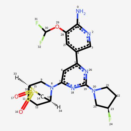 Nc1ncc(-c2cc(N3C[C@@H]4CC[C@H]3CS4(=O)=O)nc(N3CC[C@@H](F)C3)n2)cc1OC(F)F